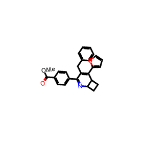 COC(=O)c1ccc(C2=NC3CCC3C(c3ccco3)=C2Cc2ccccc2)cc1